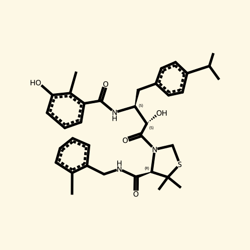 Cc1ccccc1CNC(=O)[C@H]1N(C(=O)[C@@H](O)[C@H](Cc2ccc(C(C)C)cc2)NC(=O)c2cccc(O)c2C)CSC1(C)C